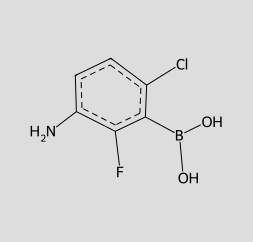 Nc1ccc(Cl)c(B(O)O)c1F